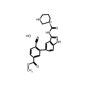 COC(=O)c1ccc(C#N)c(-c2ccc3[nH]nc(NC(=O)[C@@H]4CCCNC4)c3c2)c1.Cl